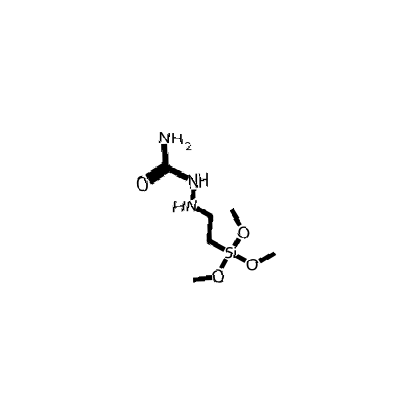 CO[Si](CCNNC(N)=O)(OC)OC